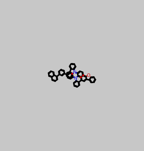 c1cc(-c2ccc(N(c3ccccc3-c3ccc4oc5ccccc5c4c3)c3ccccc3-n3c4ccccc4c4ccccc43)cc2)cc(-c2cccc3ccccc23)c1